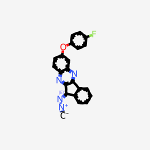 [C-]#[N+]/N=C1\c2ccccc2-c2nc3cc(Oc4ccc(F)cc4)ccc3nc21